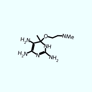 CNCCOC1(C)NC(N)=NC(N)=C1N